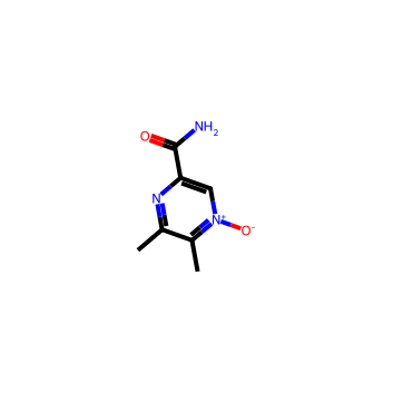 Cc1nc(C(N)=O)c[n+]([O-])c1C